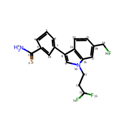 NC(=S)c1cccc(-c2cn(CCC(F)F)c3cc(CF)ccc23)c1